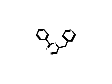 O=C(OC([C]=S)Cc1ccncc1)c1ccccc1